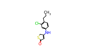 CCCc1ccc(NC2=CC(=O)SC2)cc1Cl